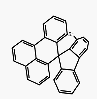 Brc1cccc2c1C1(c3ccccc3-2)c2ccccc2-c2cccc3cccc1c23